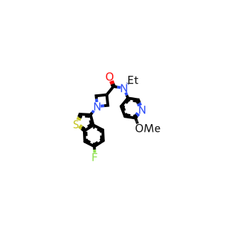 CCN(C(=O)C1CN(c2csc3cc(F)ccc23)C1)c1ccc(OC)nc1